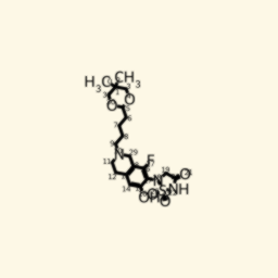 CC1(C)COC(CCCCN2CCc3cc(O)c(N4CC(=O)NS4(=O)=O)c(F)c3C2)OC1